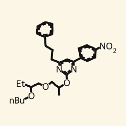 CCCCOC(CC)COCC(C)Oc1nc(CCCc2ccccc2)cc(-c2ccc([N+](=O)[O-])cc2)n1